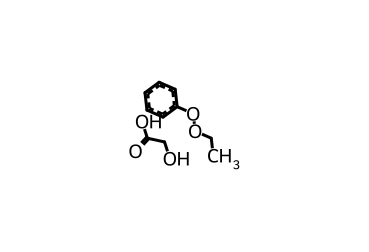 CCOOc1ccccc1.O=C(O)CO